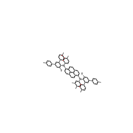 Cc1ccc(-c2cc(F)c(N(c3ccc(C)c(C)c3)c3ccc4ccc5c(N(c6ccc(C)c(C)c6)c6c(F)cc(-c7ccc(C)cc7)cc6-c6ccc(C)cc6)ccc6ccc3c4c65)c(-c3ccc(C)cc3)c2)cc1